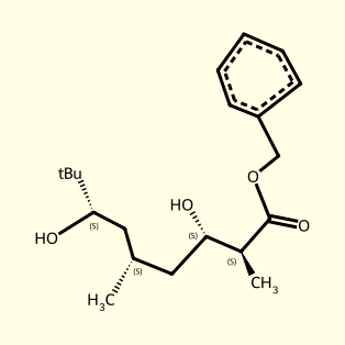 C[C@@H](C[C@H](O)[C@H](C)C(=O)OCc1ccccc1)C[C@H](O)C(C)(C)C